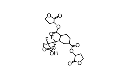 O=C(OC1CCOC1=O)C1CCC(C(=O)OC2CCOC2=O)C(C(F)(F)C(F)(F)S(=O)(=O)O)C1